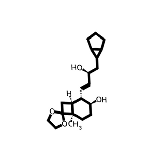 C[C@@]12CC[C@H](O)[C@@H](/C=C/[C@@H](O)CC3C4CCCC43)[C@@H]1CC21OCCO1